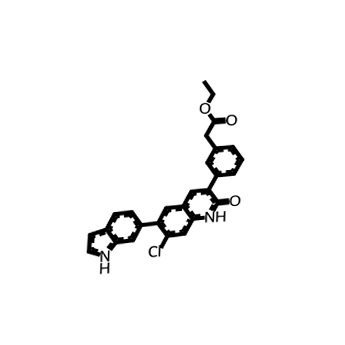 CCOC(=O)Cc1cccc(-c2cc3cc(-c4ccc5cc[nH]c5c4)c(Cl)cc3[nH]c2=O)c1